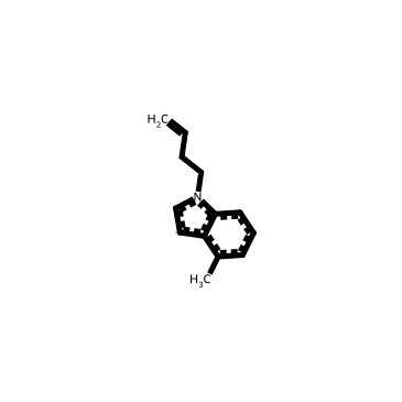 C=CCCn1c[c]c2c(C)cccc21